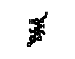 CCc1nc(-c2ccc(Cl)cc2Cl)c(CC)nc1N[C@@H]1CNC[C@H]1OCCF